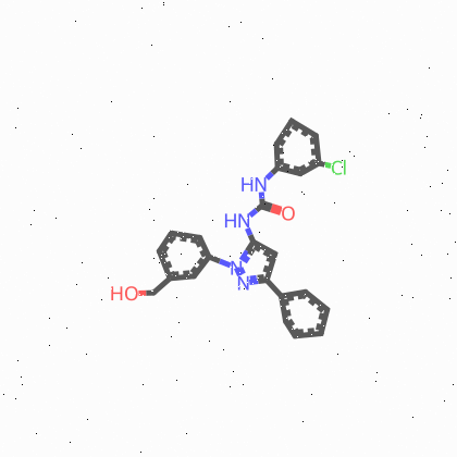 O=C(Nc1cccc(Cl)c1)Nc1cc(-c2ccccc2)nn1-c1cccc(CO)c1